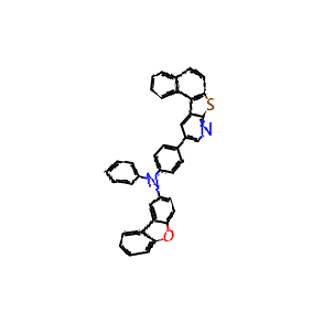 c1ccc(N(c2ccc(-c3cnc4sc5ccc6ccccc6c5c4c3)cc2)c2ccc3oc4ccccc4c3c2)cc1